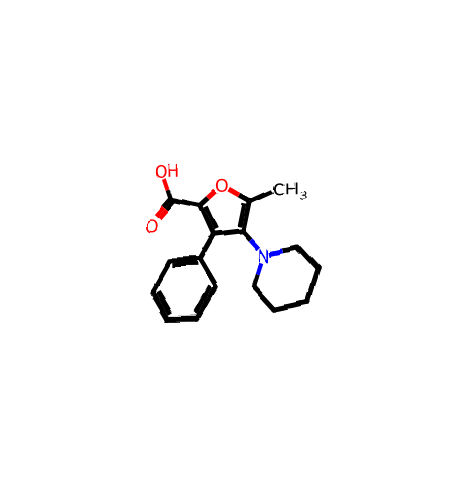 Cc1oc(C(=O)O)c(-c2ccccc2)c1N1CCCCC1